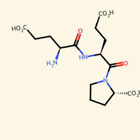 N[C@@H](CCC(=O)O)C(=O)N[C@@H](CCC(=O)O)C(=O)N1CCC[C@H]1C(=O)O